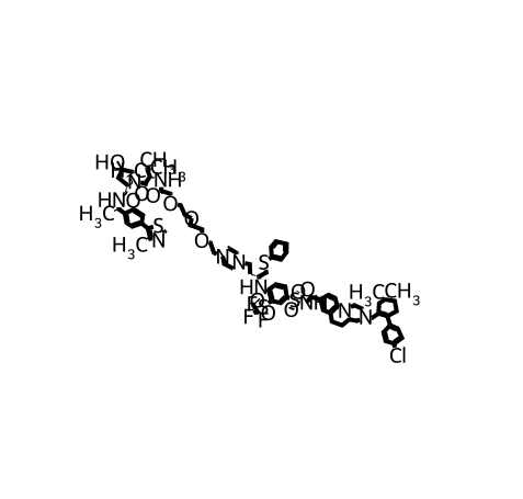 Cc1ncsc1-c1ccc([C@H](C)NC(=O)[C@@H]2C[C@@H](O)CN2C(=O)[C@@H](NC(=O)COCCOCCOCCN2CCN(CC[C@H](CSc3ccccc3)Nc3ccc(S(=O)(=O)NC(=O)c4ccc5c(c4)CCC4CN(CC6=C(c7ccc(Cl)cc7)CCC(C)(C)C6)CCN54)cc3S(=O)(=O)C(F)(F)F)CC2)C(C)(C)C)cc1